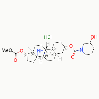 COC(=O)O[C@H]1CC[C@]2(N)[C@@H]3CC[C@@H]4C[C@@H](OC(=O)N5CCCC(O)C5)CC[C@]4(C)[C@H]3CC[C@]12C.Cl